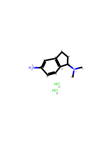 CN(C)C1CCc2cc(N)ccc21.Cl.Cl